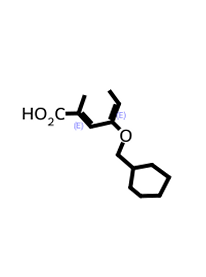 C/C=C(\C=C(/C)C(=O)O)OCC1CCCCC1